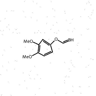 B=COc1ccc(OC)c(OC)c1